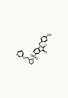 O=C1C(=O)N(Cc2ccc(O)cc2)c2ccc(S(=O)(=O)N3CCCC3COc3cccnc3)cc21